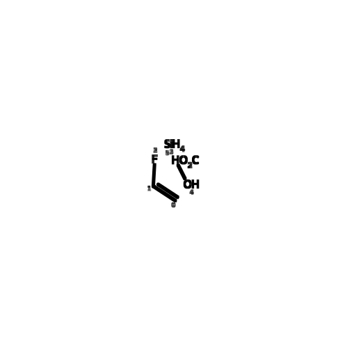 C=CF.O=C(O)O.[SiH4]